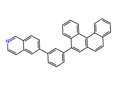 c1cc(-c2ccc3cnccc3c2)cc(-c2cc3ccc4ccccc4c3c3ccccc23)c1